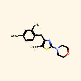 COc1ccc(Cc2nc(N3CCOCC3)sc2C(=O)O)c(C)c1